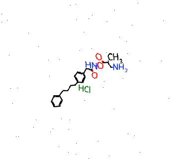 C[C@@H](CN)C(=O)ONC(=O)Cc1ccc(CCCCc2ccccc2)cc1.Cl